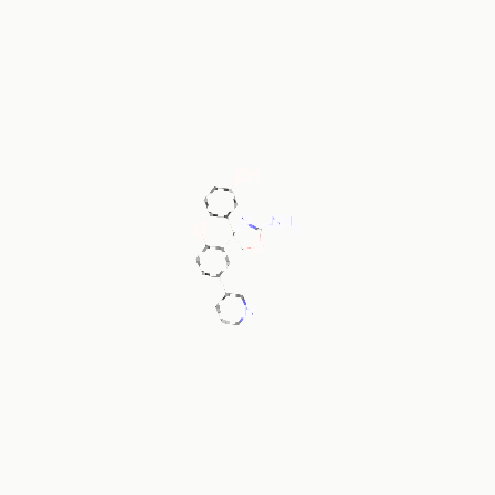 NC1=NC2(CO1)c1cc(O)ccc1Oc1ccc(-c3cccnc3)cc12